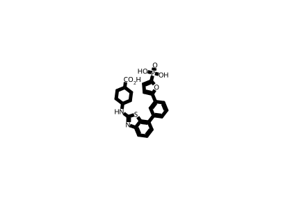 O=C(O)C1CCC(Nc2nc3cccc(-c4cccc(-c5ccc(P(=O)(O)O)o5)c4)c3s2)CC1